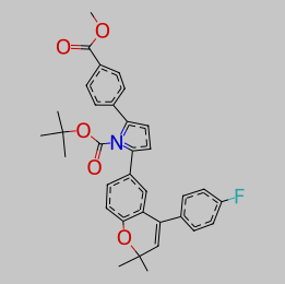 COC(=O)c1ccc(-c2ccc(-c3ccc4c(c3)C(c3ccc(F)cc3)=CC(C)(C)O4)n2C(=O)OC(C)(C)C)cc1